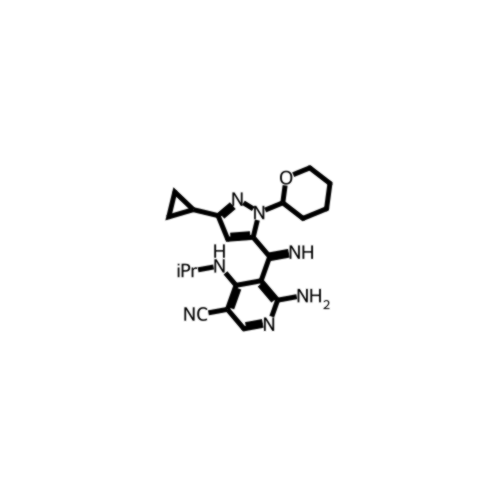 CC(C)Nc1c(C#N)cnc(N)c1C(=N)c1cc(C2CC2)nn1C1CCCCO1